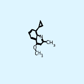 COc1cc(C)nc2c(C3CC3)cccc12